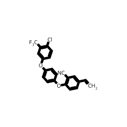 C=Cc1ccc(Oc2ccc(Oc3ccc(Cl)c(C(F)(F)F)c3)cc2)c(C#N)c1